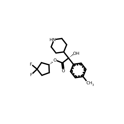 Cc1ccc([C@@](O)(C(=O)O[C@@H]2CCC(F)(F)C2)C2CCNCC2)cc1